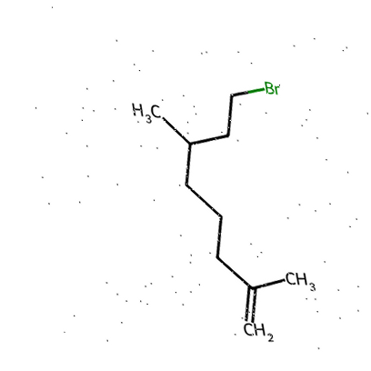 C=C(C)CCCC(C)CCBr